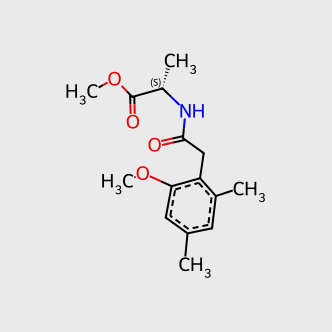 COC(=O)[C@H](C)NC(=O)Cc1c(C)cc(C)cc1OC